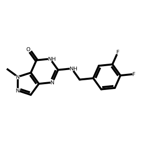 Cn1ncc2nc(NCc3ccc(F)c(F)c3)[nH]c(=O)c21